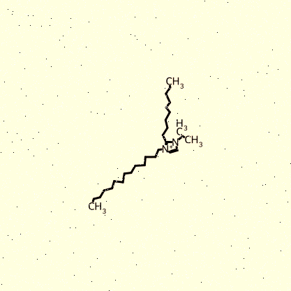 CCCCCCCCCCCCCC[n+]1ccn(C(C)C)c1CCCCCCCCC